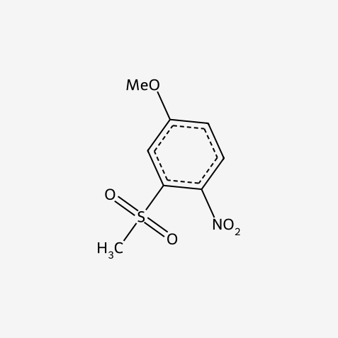 COc1ccc([N+](=O)[O-])c(S(C)(=O)=O)c1